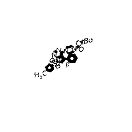 Cc1ccc(S(=O)(=O)n2cc(-c3ccccc3F)c3c(N4CCN(C(=O)OC(C)(C)C)CC4)ncnc32)cc1